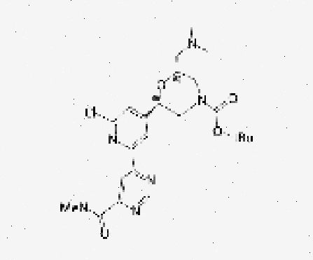 CNC(=O)c1cc(-c2cc([C@@H]3CN(C(=O)OC(C)(C)C)C[C@@H](CN(C)C)O3)cc(Cl)n2)ncn1